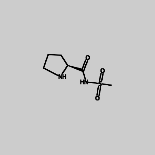 CS(=O)(=O)NC(=O)[C@@H]1CCCN1